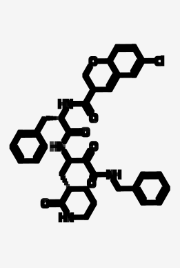 O=C(NCc1ccccc1)C(=O)C(C[C@@H]1CCCNC1=O)NC(=O)[C@H](Cc1ccccc1)NC(=O)C1C=C2C=C(Cl)C=CC2OC1